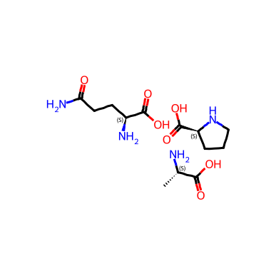 C[C@H](N)C(=O)O.NC(=O)CC[C@H](N)C(=O)O.O=C(O)[C@@H]1CCCN1